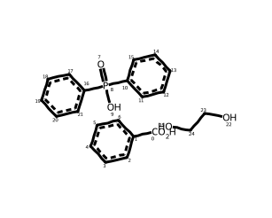 O=C(O)c1ccccc1.O=P(O)(c1ccccc1)c1ccccc1.OCCO